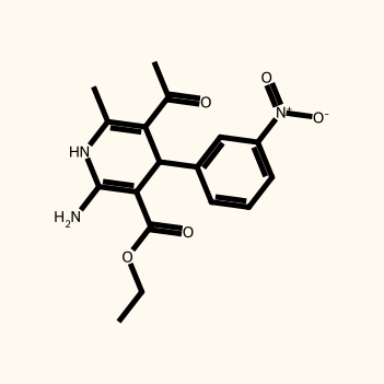 CCOC(=O)C1=C(N)NC(C)=C(C(C)=O)C1c1cccc([N+](=O)[O-])c1